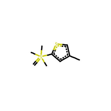 C=S(C)(C)(C)c1cc(C)cs1